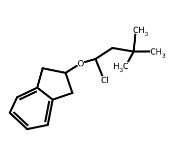 CC(C)(C)CC(Cl)OC1Cc2ccccc2C1